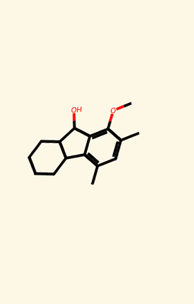 COc1c(C)cc(C)c2c1C(O)C1CCCCC21